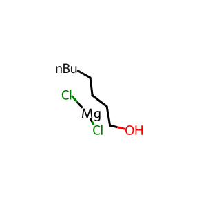 CCCCCCCCO.[Cl][Mg][Cl]